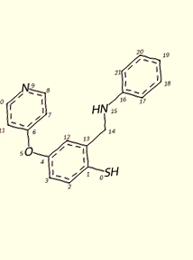 Sc1ccc(Oc2ccncc2)cc1CNc1ccccc1